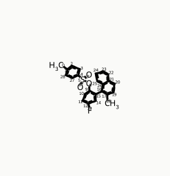 Cc1ccc(S(=O)(=O)Oc2ccc(F)cc2-c2c(C)ccc3ccccc23)cc1